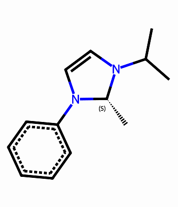 CC(C)N1C=CN(c2ccccc2)[C@H]1C